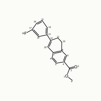 COC(=O)c1ccc2c(c1)CCC(c1cccc(F)c1)=C2